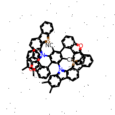 Cc1cc2c3ccc4c5ccccc5sc4c3n(-c3c(C#N)c(-c4cccc5oc6ccccc6c45)c(C#N)c(-n4c5cc(C)c(C)cc5c5ccc6c7ccccc7sc6c54)c3-c3cccc4oc5ccccc5c34)c2cc1C